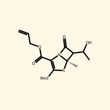 C=CCOC(=O)C1=C(SC)S[C@@H]2C(C(C)O)C(=O)N12